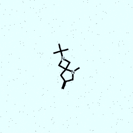 C=C1CN(C)C2(C1)CN(C(C)(C)C)C2